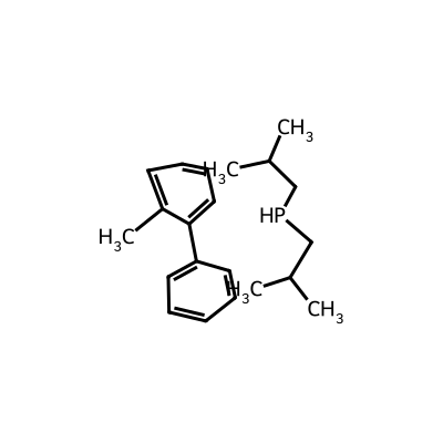 CC(C)CPCC(C)C.Cc1ccccc1-c1ccccc1